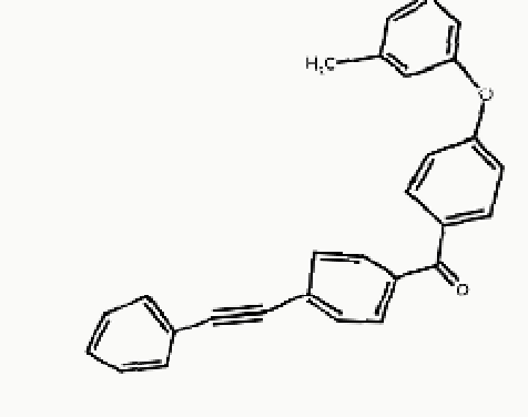 Cc1cccc(Oc2ccc(C(=O)c3ccc(C#Cc4ccccc4)cc3)cc2)c1